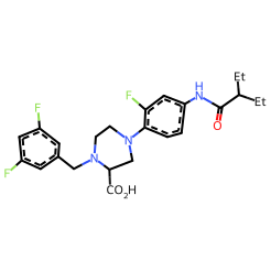 CCC(CC)C(=O)Nc1ccc(N2CCN(Cc3cc(F)cc(F)c3)C(C(=O)O)C2)c(F)c1